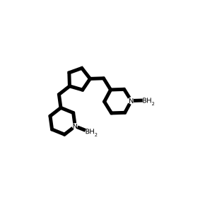 BN1CCCC(CC2CCC(CC3CCCN(B)C3)C2)C1